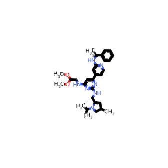 COC(CNc1cc(-c2ccnc(N[C@@H](C)c3ccccc3)c2)nc(NCC2CC(C)CN2C(C)C)n1)OC